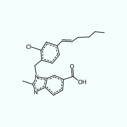 CCCCC=Cc1ccc(Cn2c(C)nc3ccc(C(=O)O)cc32)c(Cl)c1